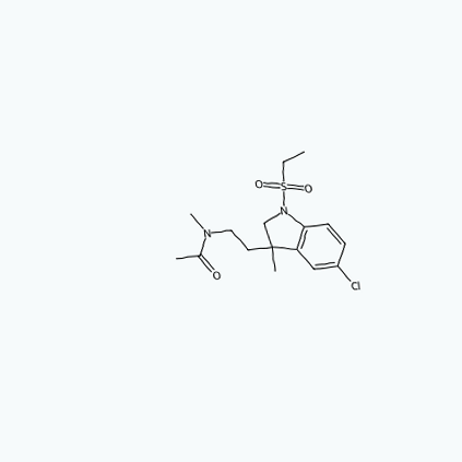 CCS(=O)(=O)N1CC(C)(CCN(C)C(C)=O)c2cc(Cl)ccc21